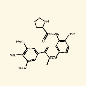 COc1ccc(C=C(C)C(=O)c2cc(OC)c(OC)c(OC)c2)cc1NC(=O)C1CCCN1